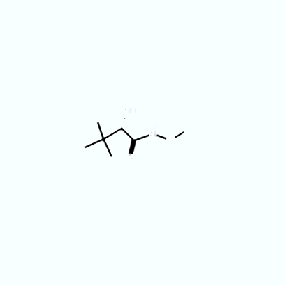 CONC(=O)[C@@H](N)C(C)(C)C